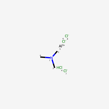 CN(C)C.Cl.[Al+3].[Cl-].[Cl-].[Cl-]